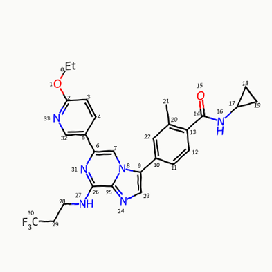 CCOc1ccc(-c2cn3c(-c4ccc(C(=O)NC5CC5)c(C)c4)cnc3c(NCCC(F)(F)F)n2)cn1